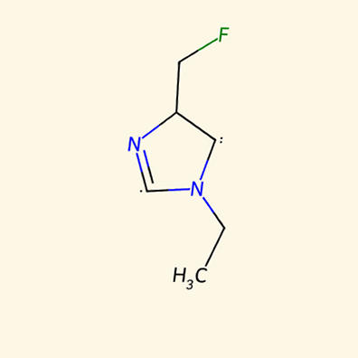 CCN1[C]C(CF)N=[C]1